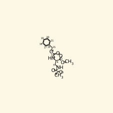 COC(=O)C(CNS(C)(=O)=O)NC(=O)OCc1ccccc1